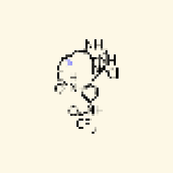 N[C@H]1C/C=C/CCC(=O)Nc2cc(NC(=O)C(F)(F)F)ccc2-c2nc1[nH]c2Cl